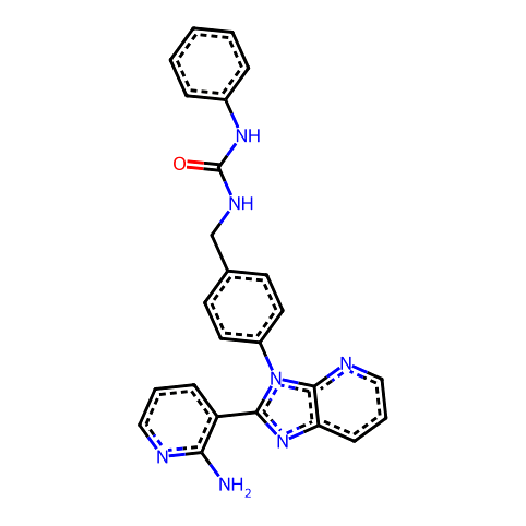 Nc1ncccc1-c1nc2cccnc2n1-c1ccc(CNC(=O)Nc2ccccc2)cc1